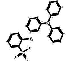 O=S(=O)([O-])c1ccccc1C(F)(F)F.c1cc[c]([Sn+]([c]2ccccc2)[c]2ccccc2)cc1